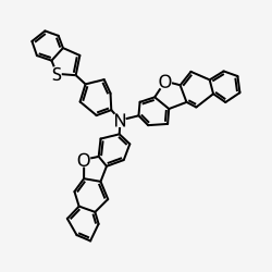 c1ccc2cc3c(cc2c1)oc1cc(N(c2ccc(-c4cc5ccccc5s4)cc2)c2ccc4c(c2)oc2cc5ccccc5cc24)ccc13